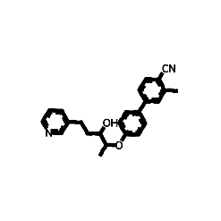 Cc1cc(-c2ccc(OC(C)C(O)CCc3cccnc3)cc2)ccc1C#N